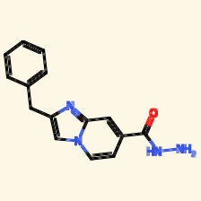 NNC(=O)c1ccn2cc(Cc3ccccc3)nc2c1